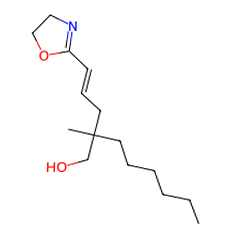 CCCCCCC(C)(CO)CC=CC1=NCCO1